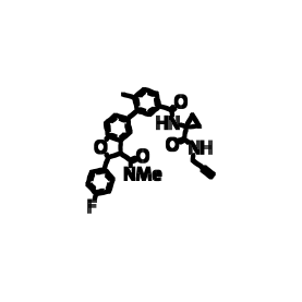 C#CCNC(=O)C1(NC(=O)c2ccc(C)c(-c3ccc4c(c3)C(C(=O)NC)C(c3ccc(F)cc3)O4)c2)CC1